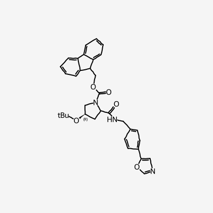 CC(C)(C)O[C@@H]1CC(C(=O)NCc2ccc(-c3cnco3)cc2)N(C(=O)OCC2c3ccccc3-c3ccccc32)C1